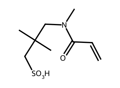 C=CC(=O)N(C)CC(C)(C)CS(=O)(=O)O